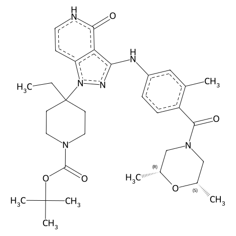 CCC1(n2nc(Nc3ccc(C(=O)N4C[C@@H](C)O[C@@H](C)C4)c(C)c3)c3c(=O)[nH]ccc32)CCN(C(=O)OC(C)(C)C)CC1